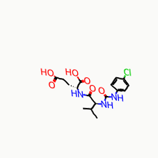 CC(C)[C@H](NC(=O)Nc1ccc(Cl)cc1)C(=O)N[C@H](CCC(=O)O)C(=O)O